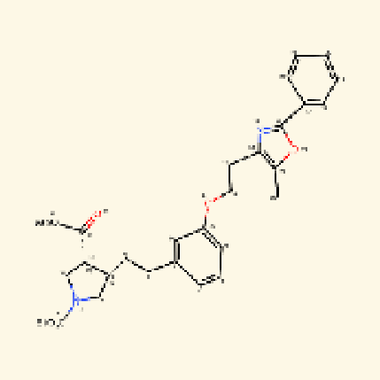 CCOC(=O)N1C[C@@H](CCc2cccc(OCCc3nc(-c4ccccc4)oc3C)c2)[C@@H](C(=O)OC)C1